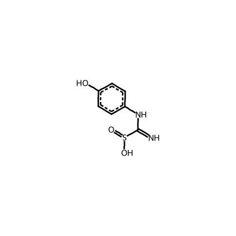 N=C(Nc1ccc(O)cc1)S(=O)O